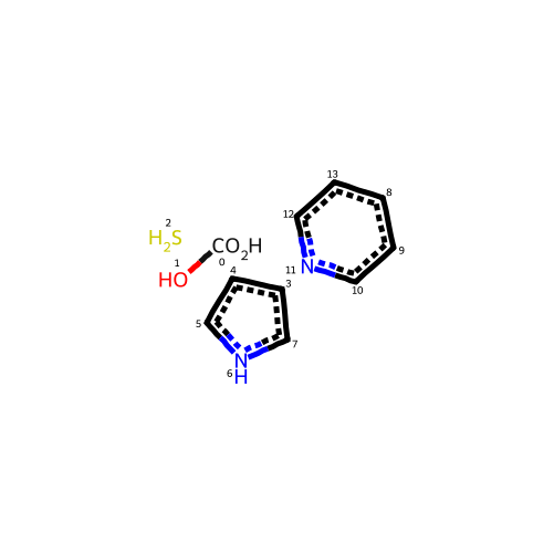 O=C(O)O.S.c1cc[nH]c1.c1ccncc1